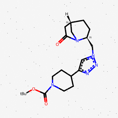 CC(C)(C)OC(=O)N1CCC(c2cn(C[C@@H]3CC[C@H]4CC(=O)N3C4)nn2)CC1